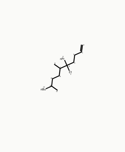 C=CCCC(CC)(CCC)C(C)CCC(C)CCCC